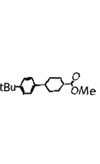 COC(=O)[C@H]1CC[C@@H](c2ccc(C(C)(C)C)cc2)CC1